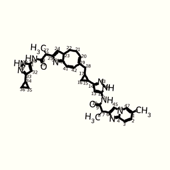 Cc1ccc2nc([C@H](C)C(=O)Nc3cc(C4CC4CC4=C/CCC5C=C([C@@H](C)C(=O)Nc6cc(C7CC7)n[nH]6)N=C5/C=C\4)n[nH]3)cn2c1